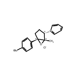 CC(C)(C)c1ccc([C@@]23CC[C@H]([n+]4ccccc4)[C@]2(C)O3)cc1.[Cl-]